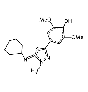 COc1cc(-c2nn(C)c(=NC3CCCCC3)s2)cc(OC)c1O